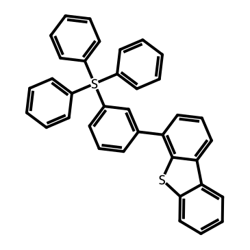 c1ccc(S(c2ccccc2)(c2ccccc2)c2cccc(-c3cccc4c3sc3ccccc34)c2)cc1